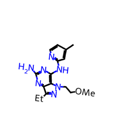 CCc1nn(CCOC)c2c(Nc3cc(C)ccn3)nc(N)nc12